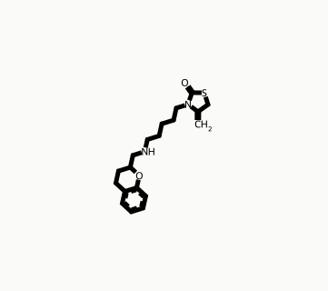 C=C1CSC(=O)N1CCCCCNCC1CCc2ccccc2O1